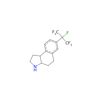 FC(F)(F)C(F)(c1ccc2c(c1)CCC1NCCC21)C(F)(F)F